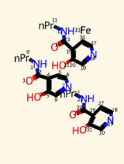 CCCNC(=O)c1ccncc1O.CCCNC(=O)c1ccncc1O.CCCNC(=O)c1ccncc1O.[Fe]